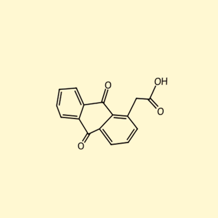 O=C(O)Cc1cccc2c1C(=O)c1ccccc1C2=O